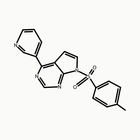 Cc1ccc(S(=O)(=O)n2ccc3c(-c4cccnc4)ncnc32)cc1